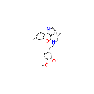 COc1ccc(CCN(CC2CC2)C(=O)c2cccnc2-c2ccc(C)cc2)cc1OC